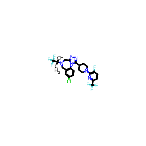 CC(C)(N1Cc2cc(Cl)ccc2-n2c(nnc2C2CCN(c3nc(C(F)(F)F)ccc3F)CC2)C1)C(F)(F)F